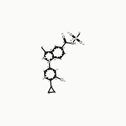 Cc1nn(-c2cnc(C3CC3)c(Cl)c2)c2ccc(C(=O)NS(C)(=O)=O)cc12